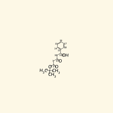 CC(C)(C)OC(=O)CC(=O)CC(O)c1ccccc1